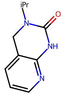 CC(C)N1Cc2cccnc2NC1=O